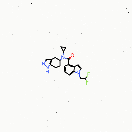 O=C(c1cccc2c1ccn2CC(F)F)N(C1CC1)C1CCc2[nH]ncc2C1